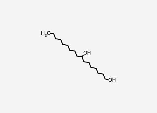 CCCCCCCCCC(O)CCCCCCCO